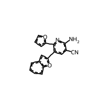 N#Cc1cc(-c2cc3ccccc3o2)c(-c2ccco2)nc1N